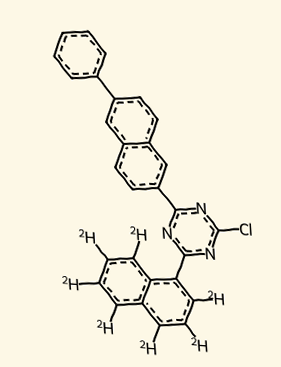 [2H]c1c([2H])c([2H])c2c(-c3nc(Cl)nc(-c4ccc5cc(-c6ccccc6)ccc5c4)n3)c([2H])c([2H])c([2H])c2c1[2H]